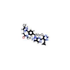 COc1ncnc(C2CC2)c1-c1ncc2cnn(Cc3ccc4c(c3)N(C)C(=O)Cn3cc(C(F)(F)F)nc3-4)c2n1